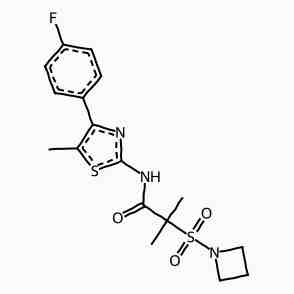 Cc1sc(NC(=O)C(C)(C)S(=O)(=O)N2CCC2)nc1-c1ccc(F)cc1